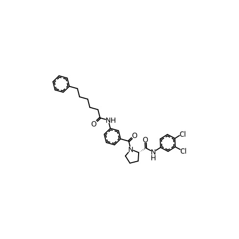 O=C(CCCCCc1ccccc1)Nc1cccc(C(=O)N2CCC[C@H]2C(=O)Nc2ccc(Cl)c(Cl)c2)c1